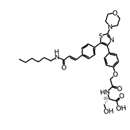 CCCCCCNC(=O)C=Cc1ccc(-c2sc(N3CCOCC3)nc2-c2ccc(OCC(=O)N[C@@H](CO)C(=O)O)cc2)cc1